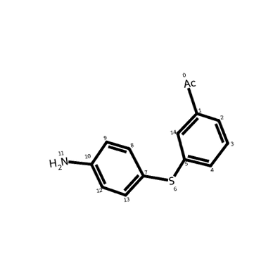 CC(=O)c1cccc(Sc2ccc(N)cc2)c1